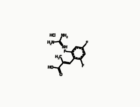 CC(=Cc1c(F)cc(F)cc1F)C(=O)O.Cl.N=C(N)N